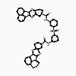 O=C(Nc1cccc(S(=O)(=O)c2cccc(NC(=O)c3ccc4nc5c(nc4c3)-c3cccc4cccc-5c34)c2)c1)c1ccc2nc3c(nc2c1)C1=CCCc2cccc-3c21